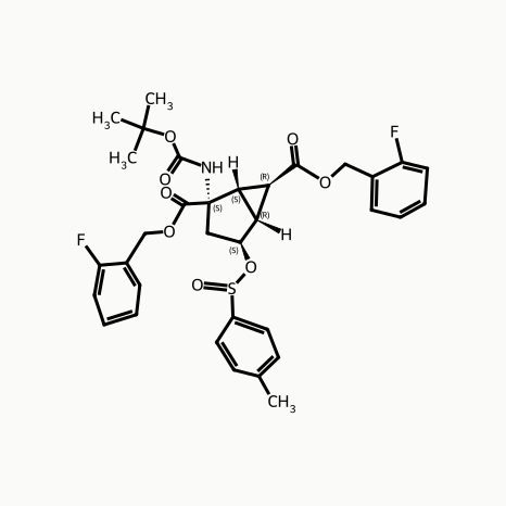 Cc1ccc(S(=O)O[C@H]2C[C@@](NC(=O)OC(C)(C)C)(C(=O)OCc3ccccc3F)[C@@H]3[C@@H](C(=O)OCc4ccccc4F)[C@@H]32)cc1